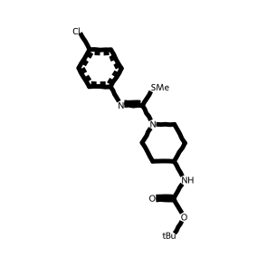 CS/C(=N\c1ccc(Cl)cc1)N1CCC(NC(=O)OC(C)(C)C)CC1